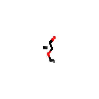 COCC=O.[Nd]